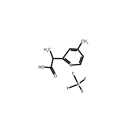 Cc1ccnc(C(C)C(=O)O)c1.F[B-](F)(F)F